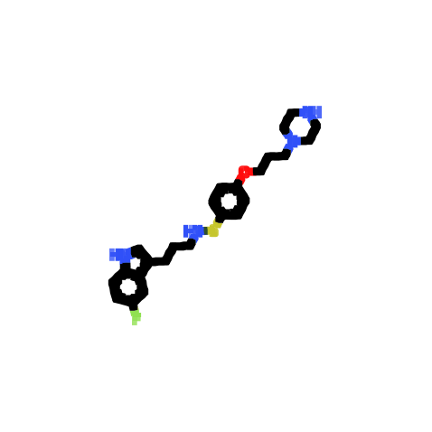 Fc1ccc2[nH]cc(CCCNSc3ccc(OCCCN4CCNCC4)cc3)c2c1